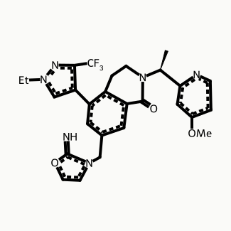 CCn1cc(-c2cc(Cn3ccoc3=N)cc3c2CCN([C@@H](C)c2cc(OC)ccn2)C3=O)c(C(F)(F)F)n1